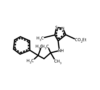 CCOC(=O)c1nsc(C)c1NC(C)(C)CC(C)(C)c1ccccc1